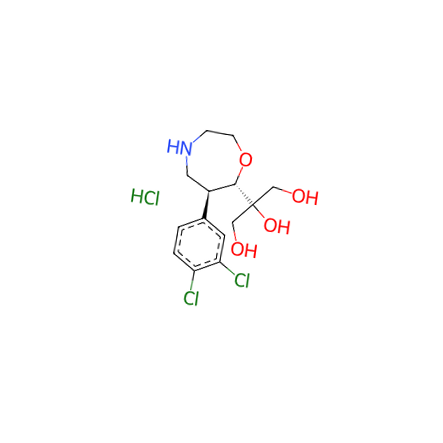 Cl.OCC(O)(CO)[C@H]1OCCNC[C@@H]1c1ccc(Cl)c(Cl)c1